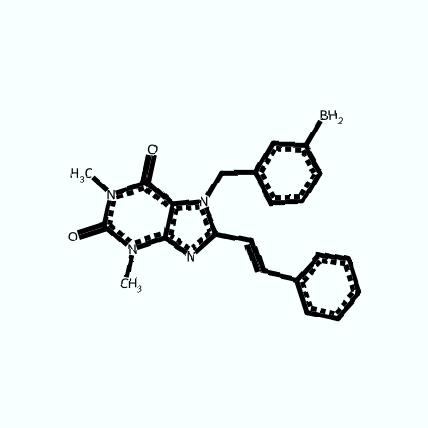 Bc1cccc(Cn2c(/C=C/c3ccccc3)nc3c2c(=O)n(C)c(=O)n3C)c1